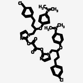 CN(C)c1ccc(OC(CCc2ccc(Cl)cc2)Cn2ccnc2OC(=O)C(=O)Oc2nccn2CC(CCc2ccc(Cl)cc2)Oc2ccc(N(C)C)cc2)cc1